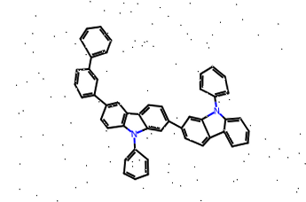 c1ccc(-c2cccc(-c3ccc4c(c3)c3ccc(-c5ccc6c7ccccc7n(-c7ccccc7)c6c5)cc3n4-c3ccccc3)c2)cc1